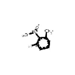 [CH2]c1cccc(I)c1[N+](=O)[O-]